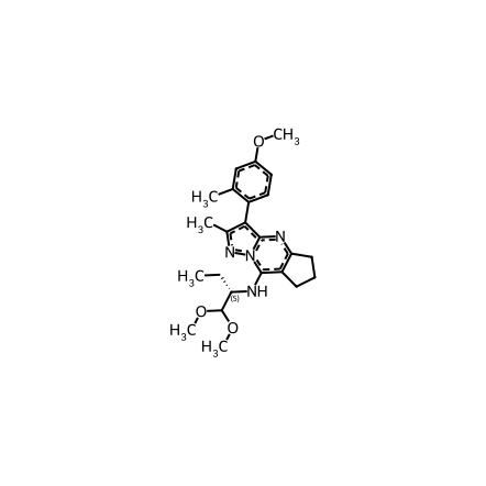 CC[C@H](Nc1c2c(nc3c(-c4ccc(OC)cc4C)c(C)nn13)CCC2)C(OC)OC